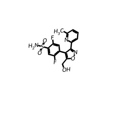 Cc1cccc(-c2noc(CO)c2-c2cc(F)c(S(N)(=O)=O)cc2F)n1